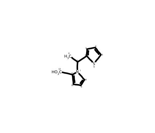 CC(c1cccs1)n1cccc1C(=O)O